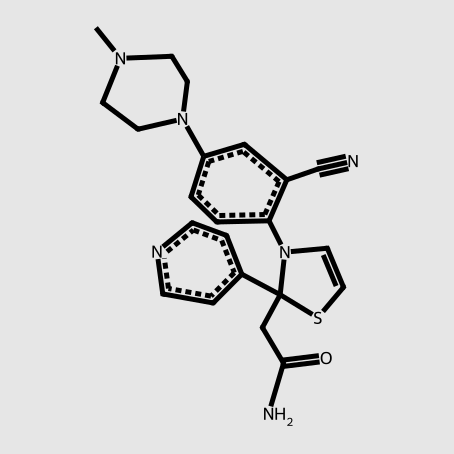 CN1CCN(c2ccc(N3C=CSC3(CC(N)=O)c3ccncc3)c(C#N)c2)CC1